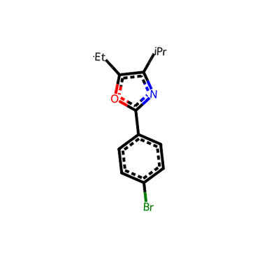 [CH2][CH]c1oc(-c2ccc(Br)cc2)nc1C(C)C